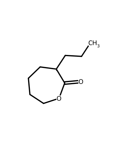 CCC[C]1CCCCOC1=O